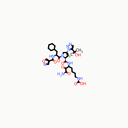 CC(C)(O)c1cnnn1[C@H]1C[C@@H](C(=O)NC(CCCCNC(=O)O)C(=O)C(N)=O)N(C(=O)C(CC2CCCCC2)NC(=O)c2cnoc2)C1